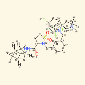 C[C@@H]1[C@@H](NC(=O)C2CCS(=O)(=O)N2Cc2cccc(CN3CC4=C(F)CC(C(F)=C4F)[C@]3(CN(C)C)CC(C)(C)C)c2)C[C@H]2C[C@@H]1C2(C)C